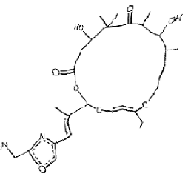 CC1=CCC(C(C)=Cc2coc(CN)n2)OC(=O)CC(O)C(C)(C)C(=O)C(C)C(O)C(C)CCC1